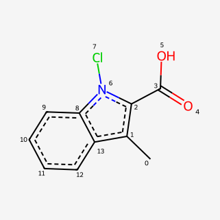 Cc1c(C(=O)O)n(Cl)c2ccccc12